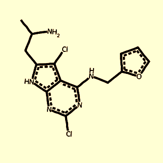 CC(N)Cc1[nH]c2nc(Cl)nc(NCc3ccco3)c2c1Cl